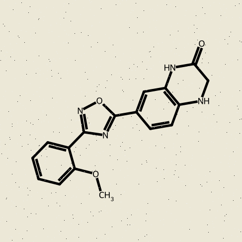 COc1ccccc1-c1noc(-c2ccc3c(c2)NC(=O)CN3)n1